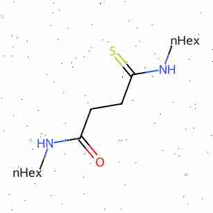 CCCCCCNC(=O)CCC(=S)NCCCCCC